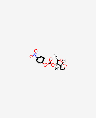 [2H]C1O[C@@]2([2H])OCC[C@H]2[C@H]1OC(=O)Oc1ccc([N+](=O)[O-])cc1